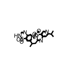 CC(C)c1cc2c(cn1)S(=O)(=O)NC(CC(C)c1cc3c(cn1)N=CNS3(=O)=O)=N2